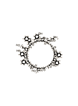 CCCC[C@H]1C(=O)N(C)CC(=O)N[C@@H](CC(=O)O)C(=O)N[C@@H](C(C)C)C(=O)N(C)[C@@H](Cc2ccccc2)C(=O)N[C@@H](Cc2ccc(O)cc2)C(=O)N(C)[C@@H](CCCC(=O)O)C(=O)N[C@@H](Cc2csc3ccccc23)C(=O)N[C@H](Cc2ccc(O)cc2)C(=O)N[C@@H](CC(C)C)C(=O)N[C@H](C(=O)NCC(N)=O)CSCC(=O)N[C@@H](Cc2ccccc2)C(=O)N(C)[C@@H](Cc2ccccc2)C(=O)N1C